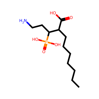 CCCCCCCC(C(=O)O)C(CCN)P(=O)(O)O